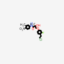 Cc1cc(NC(=O)C(C)(O)COc2ccc(CCCl)c(F)c2)ccc1[N+](=O)[O-]